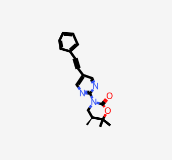 C[C@H]1CN(c2ncc(C#Cc3ccccc3)cn2)C(=O)OC1(C)C